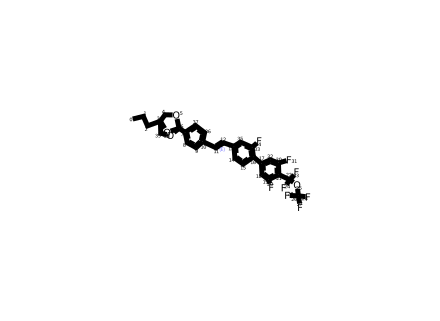 CCCC12COC(c3ccc(/C=C/c4ccc(-c5cc(F)c(C(F)(F)OC(F)(F)F)c(F)c5)c(F)c4)cc3)(OC1)O2